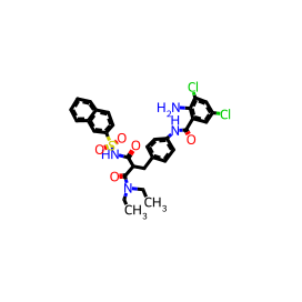 CCN(CC)C(=O)C(Cc1ccc(NC(=O)c2cc(Cl)cc(Cl)c2N)cc1)C(=O)NS(=O)(=O)c1ccc2ccccc2c1